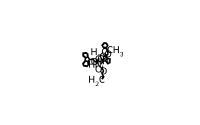 C=CCOC(=O)C[C@H](NC(=O)OCC1c2ccccc2-c2ccccc21)C(=O)N1CCCC1C(=O)OC(C)(C)c1ccccc1